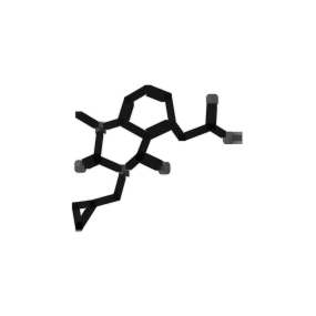 Cn1c(=O)n(CC2CC2)c(=O)c2c(CC(=O)O)cccc21